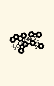 CC1(C)c2ccccc2-c2cc(-c3cc4c(cc3Nc3cccc5c3sc3ccccc35)Sc3ccccc3S4)c3c(c21)C1Cc2c(ccc4ccccc24)-c2cccc(c21)B3